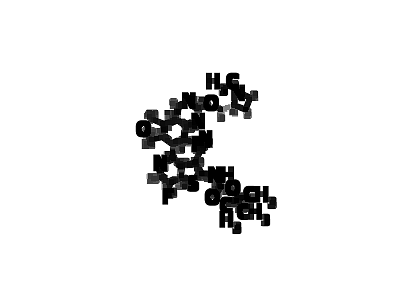 CN1CC[C@@H]1COc1ncc2c3c(c(-c4ncc(F)c5sc(NC(=O)OC(C)(C)C)c(C#N)c45)c(F)c2n1)COC3